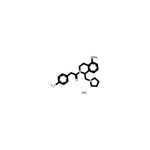 COc1cccc2c1CCN(C(=O)Cc1ccc(C(F)(F)F)cc1)C2CN1CCCC1.Cl